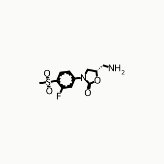 CS(=O)(=O)c1ccc(N2C[C@H](CN)OC2=O)cc1F